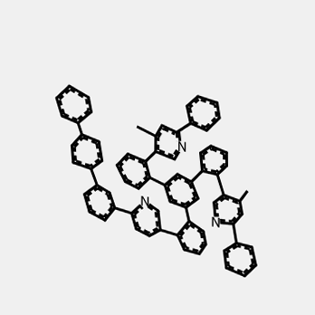 Cc1cc(-c2ccccc2)ncc1-c1ccccc1-c1cc(-c2ccccc2-c2ccc(-c3cccc(-c4ccc(-c5ccccc5)cc4)c3)nc2)cc(-c2ccccc2-c2cnc(-c3ccccc3)cc2C)c1